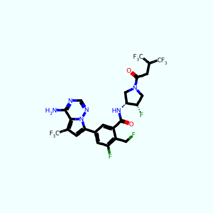 Nc1ncnn2c(-c3cc(F)c(CF)c(C(=O)N[C@@H]4CN(C(=O)CC(C(F)(F)F)C(F)(F)F)C[C@@H]4F)c3)cc(C(F)(F)F)c12